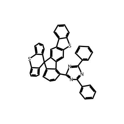 c1ccc(-c2nc(-c3ccccc3)nc(-c3cccc4c3-c3cc5sc6ccccc6c5cc3C43c4ccccc4Sc4ccccc43)n2)cc1